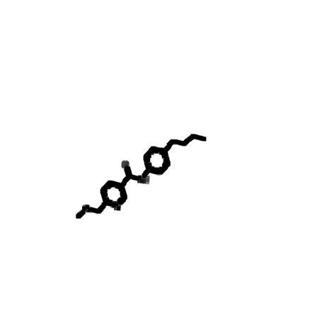 CCCCc1ccc(NC(=O)c2ccc(COC)nc2)cc1